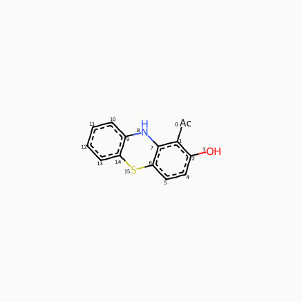 CC(=O)c1c(O)ccc2c1Nc1ccccc1S2